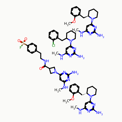 CNc1cc(N2CC(C(=O)NCCc3ccc(S(=O)(=O)F)cc3)C2)nc(N)n1.CNc1cc(N2CCCCC2Cc2ccccc2Cl)nc(N)n1.CNc1cc(N2CCCC[C@@H]2Cc2ccccc2OC)nc(N)n1.CNc1cc(N2CCCC[C@H]2Cc2ccccc2OC)nc(N)n1